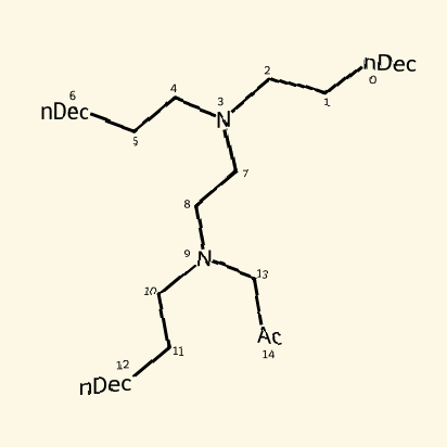 CCCCCCCCCCCCN(CCCCCCCCCCCC)CCN(CCCCCCCCCCCC)CC(C)=O